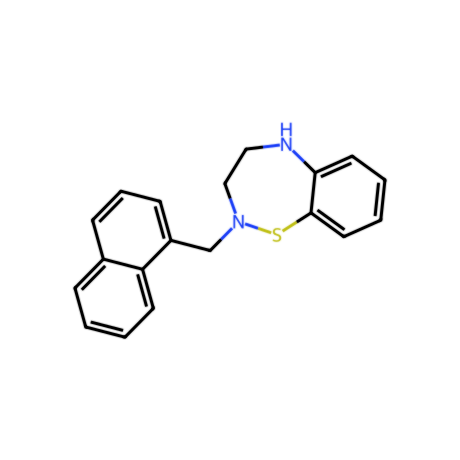 c1ccc2c(c1)NCCN(Cc1cccc3ccccc13)S2